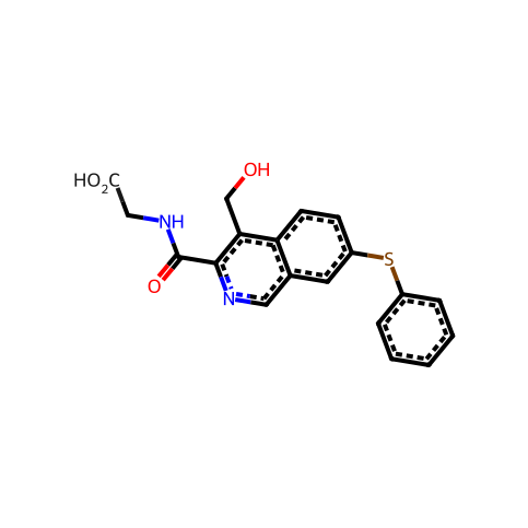 O=C(O)CNC(=O)c1ncc2cc(Sc3ccccc3)ccc2c1CO